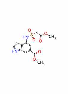 COC(=O)CS(=O)(=O)Nc1cc(C(=O)OC)cc2[nH]ccc12